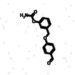 NC(=O)Oc1cccc(COc2ccc(C=O)cc2)c1